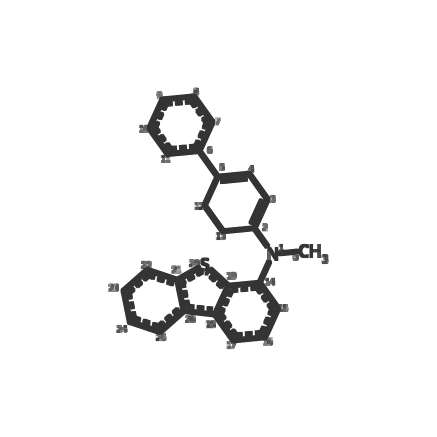 CN(C1=CC=C(c2ccccc2)CC1)c1cccc2c1sc1ccccc12